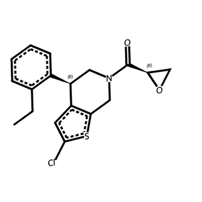 CCc1ccccc1[C@H]1CN(C(=O)[C@H]2CO2)Cc2sc(Cl)cc21